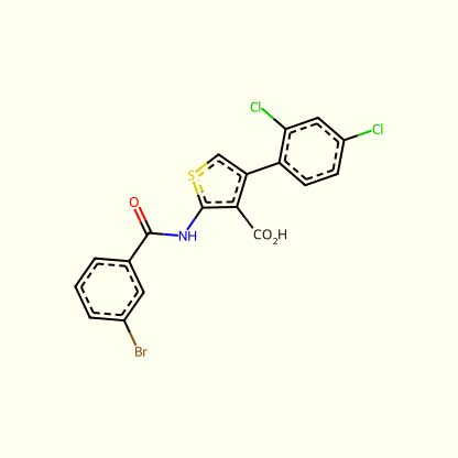 O=C(Nc1scc(-c2ccc(Cl)cc2Cl)c1C(=O)O)c1cccc(Br)c1